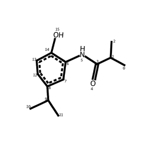 CC(C)C(=O)Nc1cc(C(C)C)ccc1O